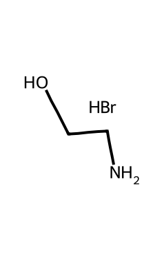 Br.NCCO